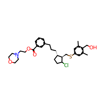 Cc1cc(SC[C@H]2C(Cl)CC[C@@H]2CCCc2cccc(C(=O)OCCN3CCOCC3)c2)cc(C)c1CO